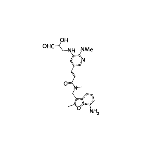 CNc1ncc(/C=C/C(=O)N(C)Cc2c(C)oc3c(N)cccc23)cc1NCC(O)C=O